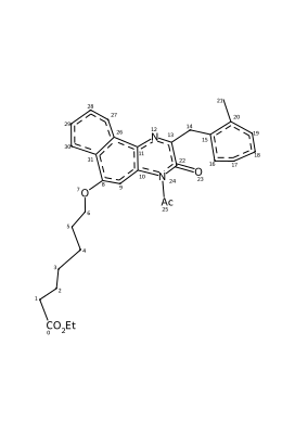 CCOC(=O)CCCCCCOc1cc2c(nc(Cc3ccccc3C)c(=O)n2C(C)=O)c2ccccc12